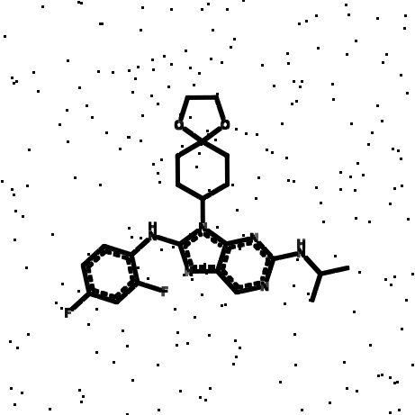 CC(C)Nc1ncc2nc(Nc3ccc(F)cc3F)n(C3CCC4(CC3)OCCO4)c2n1